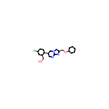 OCc1cc(F)ccc1-c1cnc2nc(COc3ccccc3)cn2c1